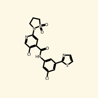 O=C(Nc1cc(Cl)cc(-c2nccs2)c1)c1cc(N2CCCS2(=O)=O)ncc1Cl